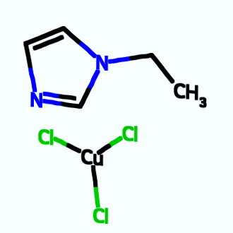 CCn1ccnc1.[Cl][Cu]([Cl])[Cl]